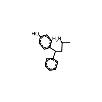 CC(N)CC(c1ccccc1)c1ccc(O)cc1